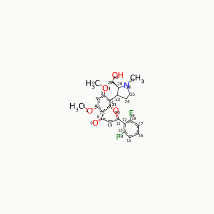 COc1cc(OC)c2c(=O)cc(-c3c(F)cccc3F)oc2c1C1CCN(C)[C@@H]1CO